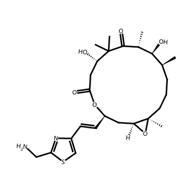 C[C@H]1CCC[C@@]2(C)O[C@H]2C[C@@H](/C=C/c2csc(CN)n2)OC(=O)C[C@H](O)C(C)(C)C(=O)[C@H](C)[C@H]1O